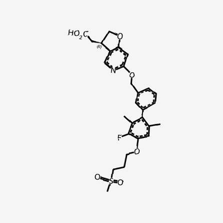 Cc1cc(OCCCS(C)(=O)=O)c(F)c(C)c1-c1cccc(COc2cc3c(cn2)[C@@H](CC(=O)O)CO3)c1